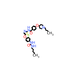 CCCCCNC(=O)Nc1ccc(Oc2cnc(NC(=O)c3ccc(OC4CCN(CCCC)CC4)cc3)s2)c(F)c1